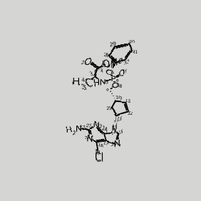 COC(=O)[C@H](C)NP(=O)(OC[C@@H]1C=C[C@H](n2cnc3c(Cl)nc(N)nc32)C1)Oc1ccccc1